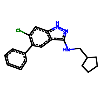 Clc1cc2[nH]nc(NCC3CCCC3)c2cc1-c1ccccc1